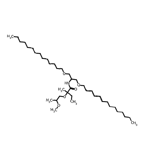 CCCCCCCCCCCCCCOCC(COCCCCCCCCCCCCCC)NC(=O)C(C)(CC)OCC(C)OC